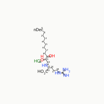 CCCCCCCCCCCCCCCCCCC(O)C(O)CNC(CCCNC(=N)N)C(=O)O.Cl